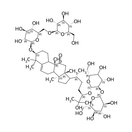 C[C@H](CC[C@@H](O[C@@H]1O[C@H](CO)C(O)[C@H](O)[C@H]1O[C@H]1O[C@@H](CO)[C@H](O)[C@@H](O)[C@@H]1O)C(C)(C)O)C1CC[C@@]2(C)C3CC=C4C(CC[C@H](O[C@@H]5O[C@H](CO[C@@H]6O[C@H](CO)[C@@H](O)[C@H](O)[C@H]6O)[C@@H](O)[C@H](O)[C@H]5O)C4(C)C)[C@]3(C)C(=O)C[C@]12C